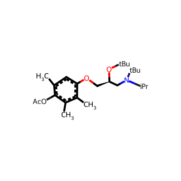 CC(=O)Oc1c(C)cc(OC[C@H](CN(C(C)C)C(C)(C)C)OC(C)(C)C)c(C)c1C